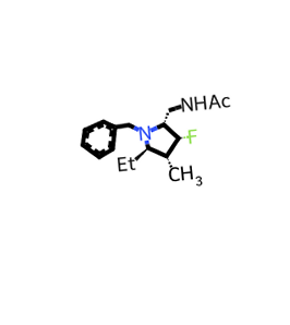 CC[C@@H]1[C@@H](C)[C@@H](F)[C@@H](CNC(C)=O)N1Cc1ccccc1